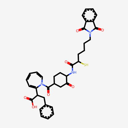 O=C(NC1CCC(C(=O)N2C=CC=CC=C2C(Cc2ccccc2)C(=O)O)CC1=O)C(S)CCCCN1C(=O)c2ccccc2C1=O